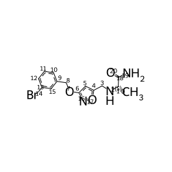 C[C@H](NCc1cc(OCc2cccc(Br)c2)no1)C(N)=O